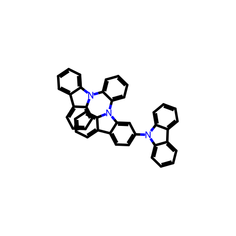 c1ccc(-n2c3ccccc3c3ccc(-n4c5ccccc5c5ccccc54)cc32)c(-n2c3ccccc3c3ccccc32)c1